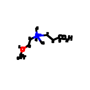 CC(C)OCC[N+](C)(C)CCC(=O)O